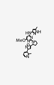 COc1cc(Nc2cc(C)[nH]n2)nc(N2CCCC2c2cc(-c3cccnc3C)no2)n1